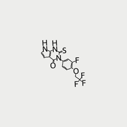 O=c1c2cc[nH]c2[nH]c(=S)n1-c1ccc(OCC(F)(F)F)c(F)c1